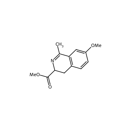 COC(=O)C1Cc2ccc(OC)cc2C(C)=N1